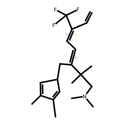 C=C/C(=C\C=C(/CC1C=C(C)C(C)=C1)C(C)(C)CN(C)C)C(F)(F)F